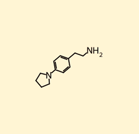 NCCc1ccc(N2CCCC2)cc1